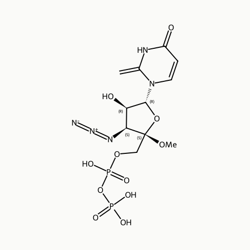 C=C1NC(=O)C=CN1[C@@H]1O[C@@](COP(=O)(O)OP(=O)(O)O)(OC)[C@@H](N=[N+]=[N-])[C@H]1O